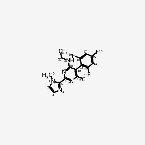 Cn1ccnc1-c1nc(Cl)c(-c2c(F)cc(F)cc2F)c(NCC(F)(F)F)n1